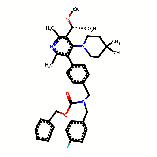 Cc1nc(C)c([C@H](OC(C)(C)C)C(=O)O)c(N2CCC(C)(C)CC2)c1-c1ccc(CN(Cc2ccc(F)cc2)C(=O)OCc2ccccc2)cc1